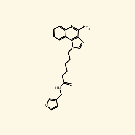 Nc1nc2ccccc2c2c1ncn2CCCCCC(=O)NCc1ccoc1